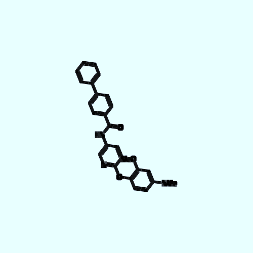 CNc1ccc(Oc2ccc(NC(=O)c3ccc(-c4ccccc4)cc3)cn2)c(OC)c1